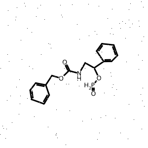 O=[PH2]OC(CNC(=O)OCc1ccccc1)c1ccccc1